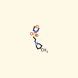 CC1CCN(CCCS(=O)(=O)N2CCOCC2)CC1